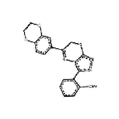 COc1ccccc1-c1nnc2n1N=C(c1ccc3c(c1)OCCO3)CS2